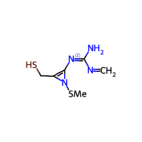 C=N/C(N)=N\C1=C(CS)N1SC